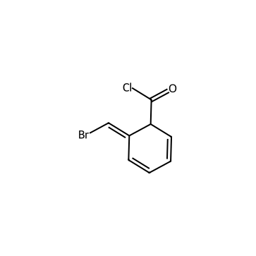 O=C(Cl)C1C=CC=CC1=CBr